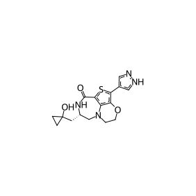 O=C1N[C@@H](CC2(O)CC2)CN2CCOc3c(-c4cn[nH]c4)sc1c32